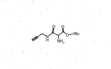 C#CCNC(=O)C(N)C(=O)OC(C)(C)C